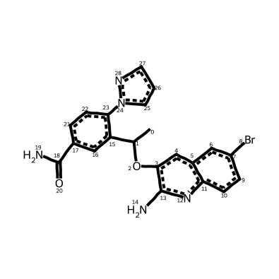 CC(Oc1cc2cc(Br)ccc2nc1N)c1cc(C(N)=O)ccc1-n1cccn1